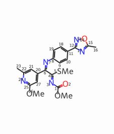 COC(=O)/N=C(SC)/C(=N\c1ccc(-c2noc(C)n2)cc1)c1cc(C)nc(OC)c1